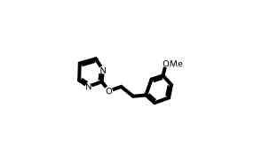 COc1cccc(CCOc2n[c]ccn2)c1